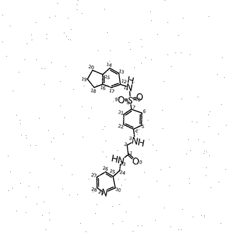 O=C(CNc1ccc(S(=O)(=O)Nc2ccc3c(c2)CCC3)cc1)NCc1cccnc1